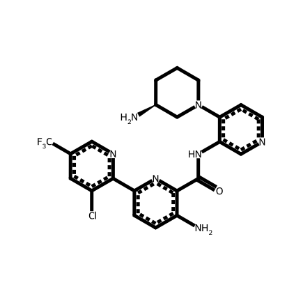 Nc1ccc(-c2ncc(C(F)(F)F)cc2Cl)nc1C(=O)Nc1cnccc1N1CCC[C@H](N)C1